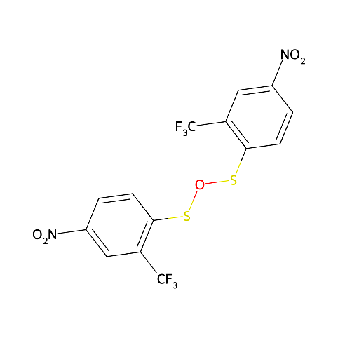 O=[N+]([O-])c1ccc(SOSc2ccc([N+](=O)[O-])cc2C(F)(F)F)c(C(F)(F)F)c1